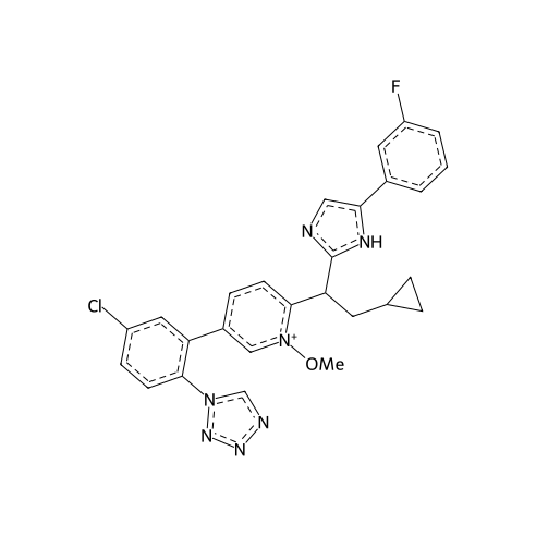 CO[n+]1cc(-c2cc(Cl)ccc2-n2cnnn2)ccc1C(CC1CC1)c1ncc(-c2cccc(F)c2)[nH]1